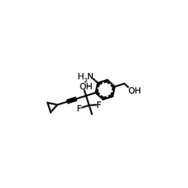 CC(F)(F)C(O)(C#CC1CC1)c1ccc(CO)cc1N